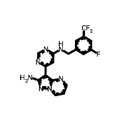 Nc1nn2cccnc2c1-c1cc(NCc2cc(F)cc(C(F)(F)F)c2)ncn1